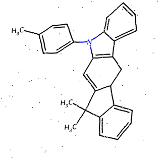 Cc1ccc(-n2c3c(c4ccccc42)CC2C(=C3)C(C)(C)c3ccccc32)cc1